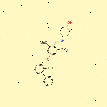 COc1cc(OCc2cccc(-c3ccccc3)c2C#N)cc(OC)c1CNC1CCC(O)CC1